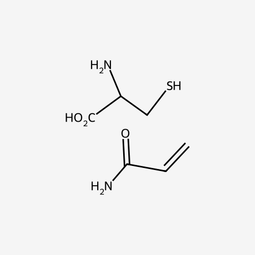 C=CC(N)=O.NC(CS)C(=O)O